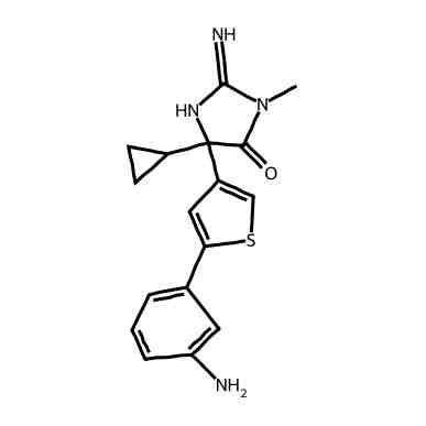 CN1C(=N)NC(c2csc(-c3cccc(N)c3)c2)(C2CC2)C1=O